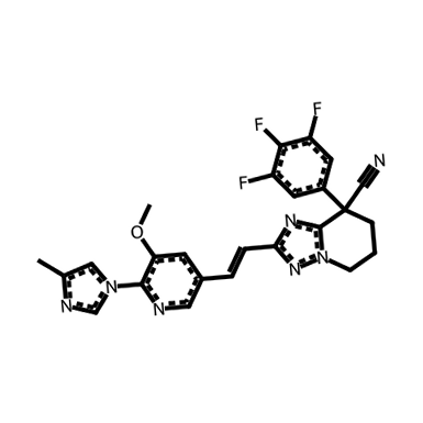 COc1cc(/C=C/c2nc3n(n2)CCCC3(C#N)c2cc(F)c(F)c(F)c2)cnc1-n1cnc(C)c1